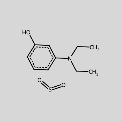 CCN(CC)c1cccc(O)c1.O=S=O